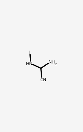 N#CC(N)NI